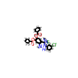 C=Nc1cc(OC(=O)c2ccccc2)c(OC(=O)c2ccccc2)cc1/C(=N\C)Nc1cccc(Cl)c1F